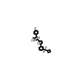 Cc1[nH]c(-c2ccc(-c3cccc(C(F)(F)C4CCC4)c3)o2)nc1-c1ccc(F)cc1